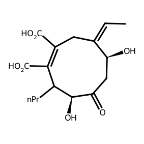 C/C=C1/C/C(C(=O)O)=C(/C(=O)O)C(CCC)[C@H](O)C(=O)C[C@@H]1O